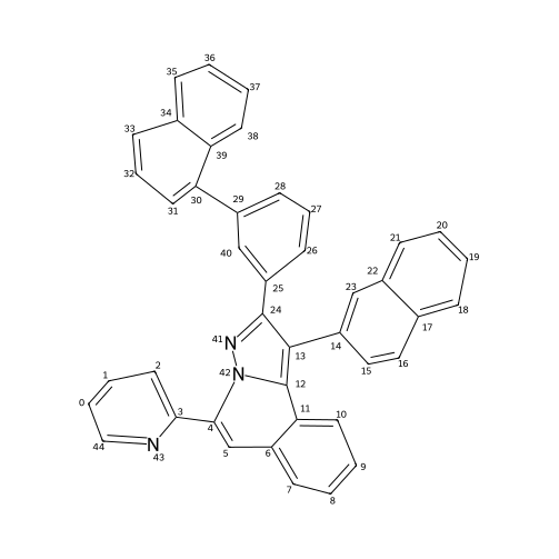 c1ccc(-c2cc3ccccc3c3c(-c4ccc5ccccc5c4)c(-c4cccc(-c5cccc6ccccc56)c4)nn23)nc1